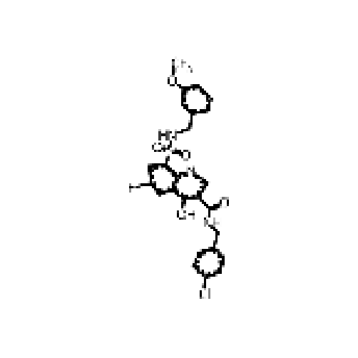 O=C(NCc1ccc(Cl)cc1)c1cnc2c(S(=O)(=O)NCc3cccc(OC(F)(F)F)c3)cc(F)cc2c1O